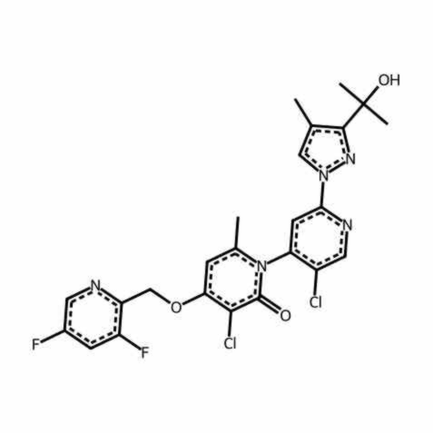 Cc1cn(-c2cc(-n3c(C)cc(OCc4ncc(F)cc4F)c(Cl)c3=O)c(Cl)cn2)nc1C(C)(C)O